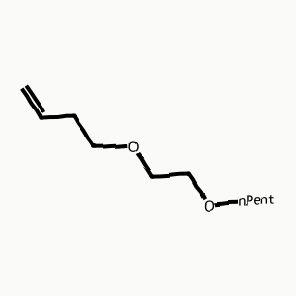 C=CCCOCCOCCCCC